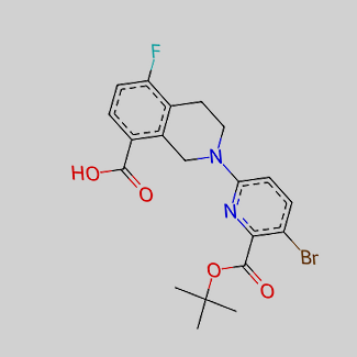 CC(C)(C)OC(=O)c1nc(N2CCc3c(F)ccc(C(=O)O)c3C2)ccc1Br